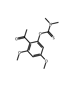 COc1cc(OC)c(C(C)=O)c(OC(=S)N(C)C)c1